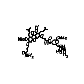 COC(=O)C[C@@H](CCCNC(=N)N)NC(=O)CCCOc1cc2oc3cc(OCCCC(N)=O)c(OC)c(CC=C(C)C)c3c(=O)c2c(O)c1CC=C(C)C